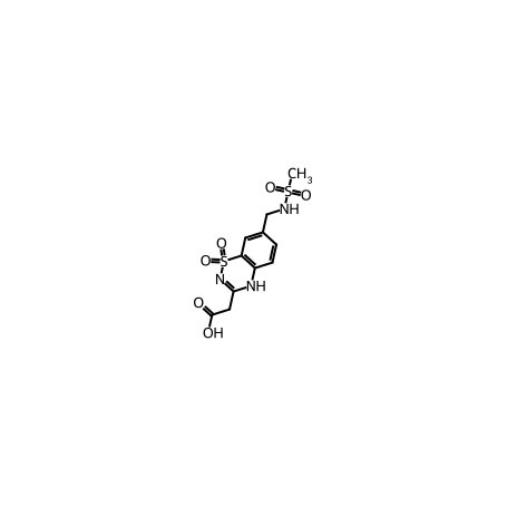 CS(=O)(=O)NCc1ccc2c(c1)S(=O)(=O)N=C(CC(=O)O)N2